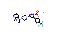 COC(=O)NC(CC(=O)N1CCN(C(C#N)c2cccnc2C)CC1)c1ccc(C(F)(F)F)cc1